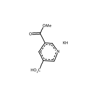 COC(=O)c1cncc(C(=O)O)c1.[KH]